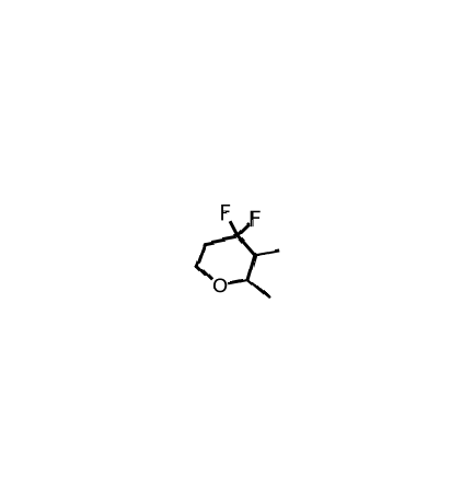 CC1OCCC(F)(F)C1C